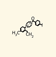 C=CC1=CC(C)=CCC1N1CCN(C(=O)C2=CC=C(I)CC2)CC1